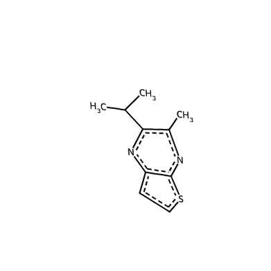 Cc1nc2sccc2nc1C(C)C